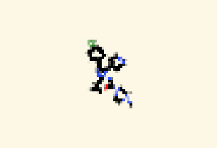 CN1CCN(C(=O)Cn2c(C3CC3)nc(-c3ccc(Cl)cc3)c2-c2ccncc2)CC1